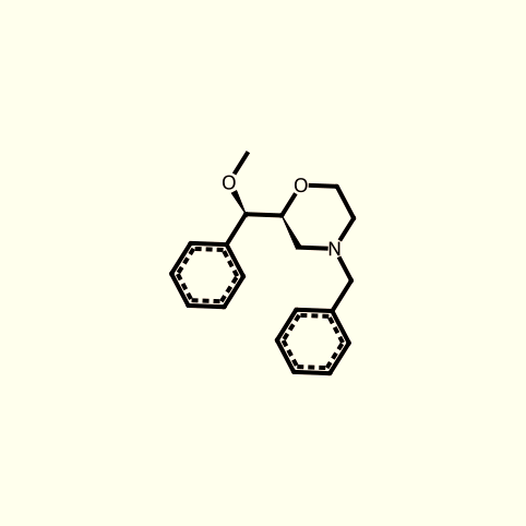 CO[C@H](c1ccccc1)[C@@H]1CN(Cc2ccccc2)CCO1